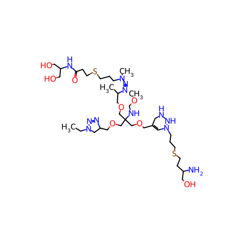 CCN1CC(COCC(COCC2=CN(CCCSCCC(N)CO)NNC2)(COCC(C)/N=N\N(C)CCCSCCC(=O)NC(CO)CO)NCOC)N=N1